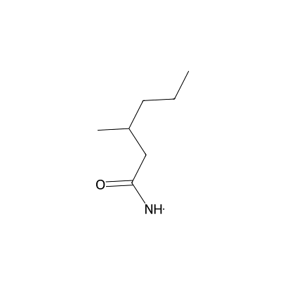 CCCC(C)CC([NH])=O